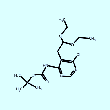 CCOC(Cc1c(Cl)ncnc1NC(=O)OC(C)(C)C)OCC